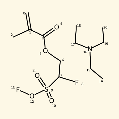 C=C(C)C(=O)OCC(F)S(=O)(=O)OF.CCN(CC)CC